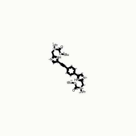 CCCN(Cc1ncc(C#Cc2ccc(-c3cnc(CN(CCC)C(=O)OC(C)(C)C)[nH]3)cc2)[nH]1)C(=O)OC(C)(C)C